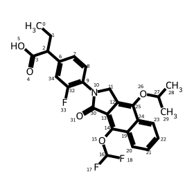 CCC(C(=O)O)c1ccc(N2Cc3c(c(OC(F)F)c4ccccc4c3OC(C)C)C2=O)c(F)c1